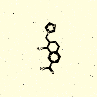 CC1c2cc(C(=O)O)ccc2CCC1Cn1ccnc1